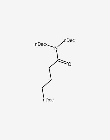 CCCCCCCCCCCCCC(=O)N(CCCCCCCCCC)CCCCCCCCCC